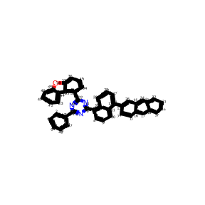 c1ccc(-c2nc(-c3cccc4c(-c5ccc6cc7ccccc7cc6c5)cccc34)nc(-c3cccc4oc5ccccc5c34)n2)cc1